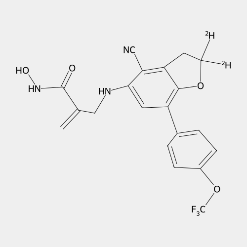 [2H]C1([2H])Cc2c(C#N)c(NCC(=C)C(=O)NO)cc(-c3ccc(OC(F)(F)F)cc3)c2O1